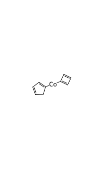 C1=CC[C]([Co][C]2=CC=C2)=C1